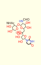 CC(=O)N[C@H]1[C@@H](O[C@@H]2OC(CC(O)[C@H]3O[C@@H](n4ccc(=O)[nH]c4=O)[C@H](O)[C@@H]3O)[C@H](O)[C@H](O)[C@H]2NC=O)O[C@H](CO)[C@@H](O)[C@@H]1O